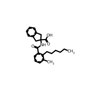 CCCCCCc1c(C)cccc1C(=O)NC1(C(=O)O)Cc2ccccc2C1